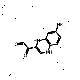 Nc1ccc2c(c1)NC(C(=O)C=O)=CN2